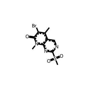 Cc1c(Br)c(=O)n(C)c2nc(S(C)(=O)=O)ncc12